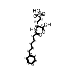 O=C(CCCCCc1ccccc1)N[C@@H](CCS(=O)(=O)O)C(=O)O